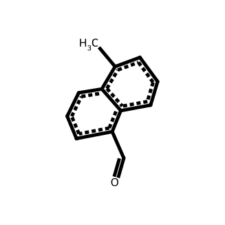 Cc1cccc2c(C=O)cccc12